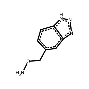 NOCc1ccc2[nH]nnc2c1